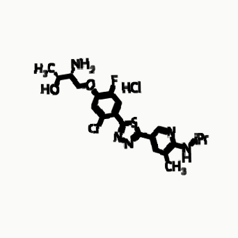 Cc1cc(-c2nnc(-c3cc(F)c(OC[C@@H](N)[C@@H](C)O)cc3Cl)s2)cnc1NC(C)C.Cl